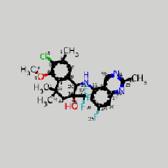 COc1c(Cl)c(C)cc2c1C(C)(C)CC(O)(C(F)(F)F)C2Nc1cc(F)cc2nc(C)ncc12